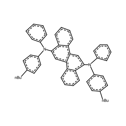 CCCCc1ccc(N(c2ccccc2)c2cc3c4ccccc4c(N(c4ccccc4)c4ccc(CCCC)cc4)cc3c3ccccc23)cc1